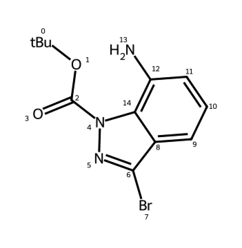 CC(C)(C)OC(=O)n1nc(Br)c2cccc(N)c21